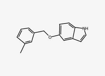 Cc1cccc(COc2ccc3[nH]ccc3c2)c1